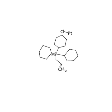 C=CC[PH](C1CCCCC1)(C1CCCCC1)C1CCCCC1.[Cl][Pt]